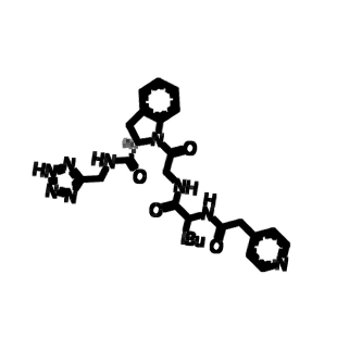 CCC(C)C(NC(=O)Cc1ccncc1)C(=O)NCC(=O)N1c2ccccc2C[C@H]1C(=O)NCc1nn[nH]n1